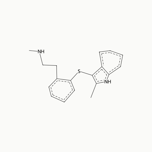 CNCCc1ccccc1Sc1c(C)[nH]c2ccccc12